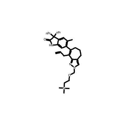 C=CCC1=C(c2cc3c(cc2C)C(CCC)(CCC)C(=O)N3)CCCc2cn(COCC[Si](C)(C)C)nc21